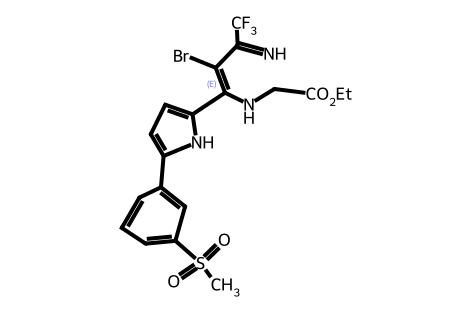 CCOC(=O)CN/C(=C(/Br)C(=N)C(F)(F)F)c1ccc(-c2cccc(S(C)(=O)=O)c2)[nH]1